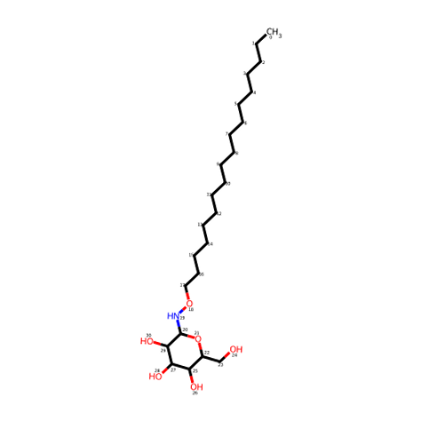 CCCCCCCCCCCCCCCCCCONC1OC(CO)C(O)C(O)C1O